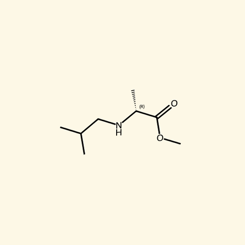 COC(=O)[C@@H](C)NCC(C)C